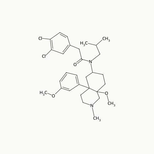 COc1cccc(C23CCN(C)CC2(OC)CCC(N(CC(C)C)C(=O)Cc2ccc(Cl)c(Cl)c2)C3)c1